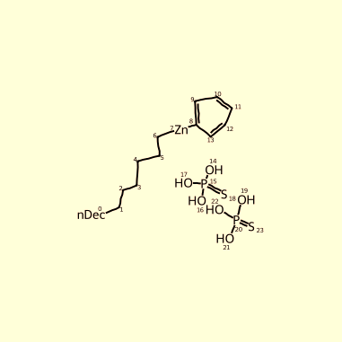 CCCCCCCCCCCCCCC[CH2][Zn][c]1ccccc1.OP(O)(O)=S.OP(O)(O)=S